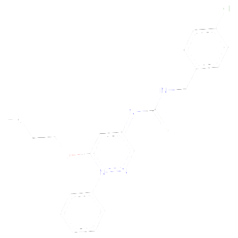 CCCOc1cc(=NC(=S)NCc2ccc(Cl)cc2)cnn1-c1ccccc1